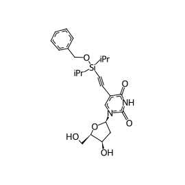 CC(C)[Si](C#Cc1cn([C@H]2C[C@@H](O)[C@@H](CO)O2)c(=O)[nH]c1=O)(OCc1ccccc1)C(C)C